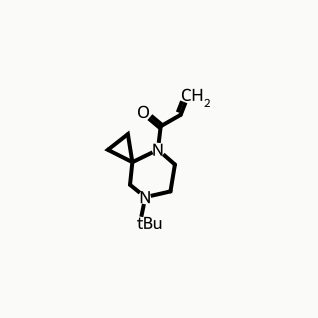 C=CC(=O)N1CCN(C(C)(C)C)CC12CC2